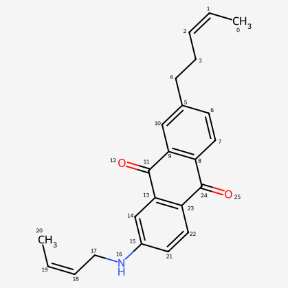 C/C=C\CCc1ccc2c(c1)C(=O)c1cc(NC/C=C\C)ccc1C2=O